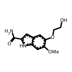 COc1cc2[nH]c(C(N)=O)cc2cc1OCCO